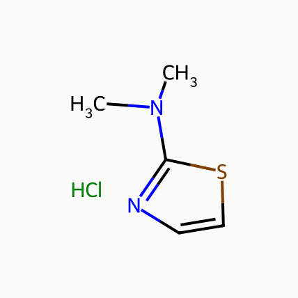 CN(C)c1nccs1.Cl